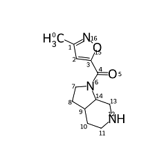 Cc1cc(C(=O)N2CCC3CCNCC32)on1